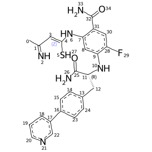 CC(=N)/C=C(\S)Nc1cc(N[C@H](Cc2ccc(-c3cccnc3)cc2)C(N)=O)c(F)cc1C(N)=O